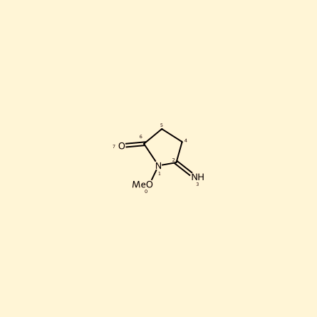 CON1C(=N)CCC1=O